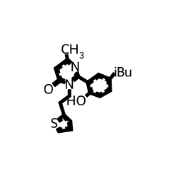 CCC(C)c1ccc(O)c(-c2nc(C)cc(=O)n2CCc2cccs2)c1